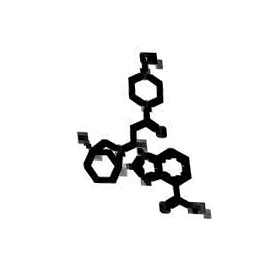 CN1CCN(C(=O)CCN2C[C@@H]3CCC[C@@]2(c2nc4c(C(N)=O)cccc4[nH]2)C3)CC1